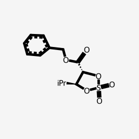 CC(C)[C@@H]1OS(=O)(=O)O[C@H]1C(=O)OCc1ccccc1